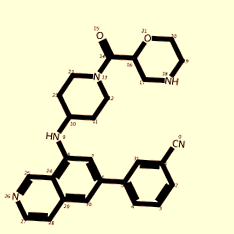 N#Cc1cccc(-c2cc(NC3CCN(C(=O)C4CNCCO4)CC3)c3cnccc3c2)c1